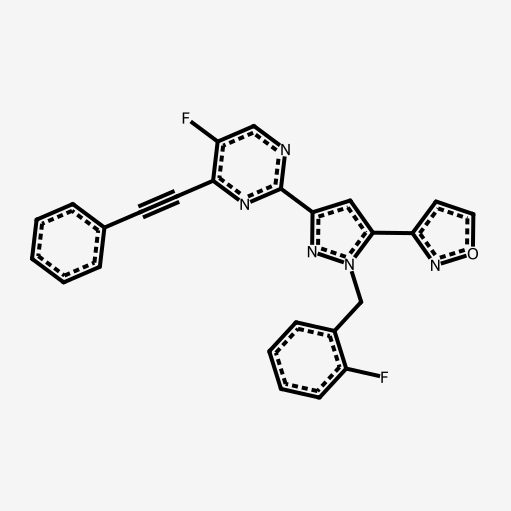 Fc1ccccc1Cn1nc(-c2ncc(F)c(C#Cc3ccccc3)n2)cc1-c1ccon1